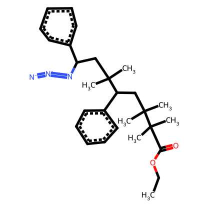 CCOC(=O)C(C)(C)C(C)(C)CC(c1ccccc1)C(C)(C)CC(N=[N+]=[N-])c1ccccc1